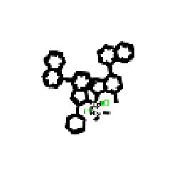 CC1=Cc2c(-c3cccc4ccccc34)ccc(C)c2[CH]1[Zr]([Cl])([Cl])([CH]1C(C2CC=CCC2)=Cc2c(-c3cccc4ccccc34)cccc21)[SiH](C)C